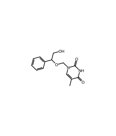 Cc1cn(COC(CO)c2ccccc2)c(=O)[nH]c1=O